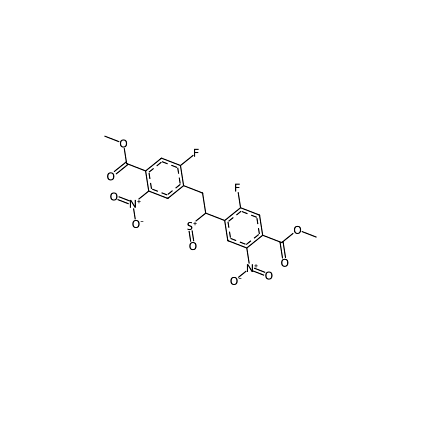 COC(=O)c1cc(F)c(CC([S+]=O)c2cc([N+](=O)[O-])c(C(=O)OC)cc2F)cc1[N+](=O)[O-]